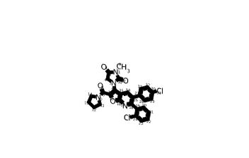 CN1C(=O)CN(c2c(C(=O)N3CCCC3)oc3nc(-c4ccccc4Cl)c(-c4ccc(Cl)cc4)cc23)C1=O